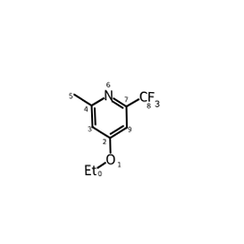 CCOc1cc(C)nc(C(F)(F)F)c1